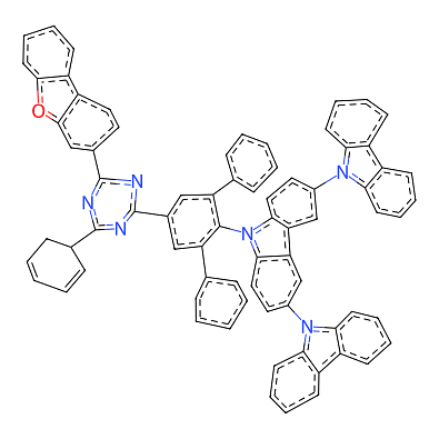 C1=CCC(c2nc(-c3cc(-c4ccccc4)c(-n4c5ccc(-n6c7ccccc7c7ccccc76)cc5c5cc(-n6c7ccccc7c7ccccc76)ccc54)c(-c4ccccc4)c3)nc(-c3ccc4c(c3)oc3ccccc34)n2)C=C1